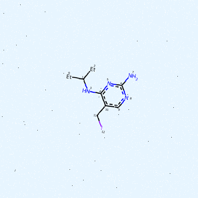 CCC(CC)Nc1nc(N)ncc1CI